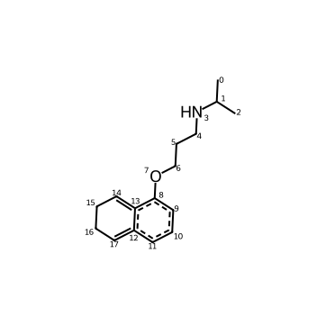 CC(C)NCCCOc1cccc2c1=CCCC=2